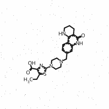 CCc1sc(N2CCN(Cc3ccc4c5c(c(=O)[nH]c4c3)CCCN5)CC2)nc1C(=O)O